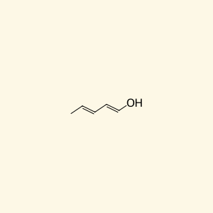 CC=CC=CO